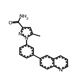 Cc1cc(C(N)=O)nn1-c1cccc(-c2ccc3ncccc3c2)c1